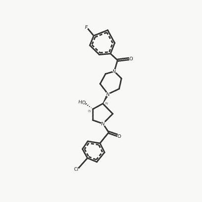 O=C(c1ccc(F)cc1)N1CCN([C@H]2CN(C(=O)c3ccc(Cl)cc3)C[C@@H]2O)CC1